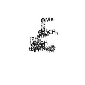 COCCCCOc1cc(C)ccc1C(=O)NCC(CC(NC(=O)OC(C)(C)C)C(O)CC(C(=O)NCCN1CCOCC1)C(C)C)C(C)C